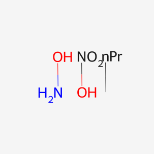 CCCC.NO.O=[N+]([O-])O